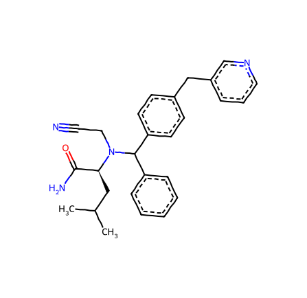 CC(C)C[C@@H](C(N)=O)N(CC#N)C(c1ccccc1)c1ccc(Cc2cccnc2)cc1